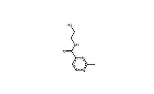 Cc1nccc(C(=O)NCCO)n1